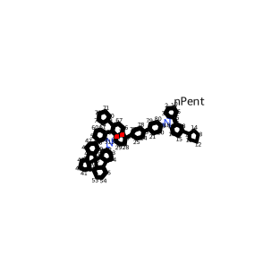 CCCCCc1ccc2c(c1)c1cc(C3CCCC3)ccc1n2-c1ccc(-c2ccc(-c3ccc(N(c4ccc5c(c4)C4(c6ccccc6-c6ccccc64)c4ccccc4-5)c4ccccc4-c4ccccc4-c4ccccc4)cc3)cc2)cc1